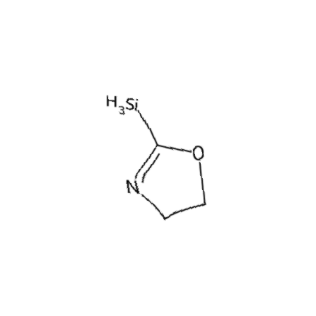 [SiH3]C1=NCCO1